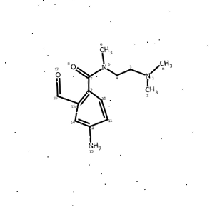 CN(C)CCN(C)C(=O)c1ccc(N)cc1C=O